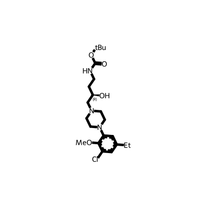 CCc1cc(Cl)c(OC)c(N2CCN(C[C@H](O)CCNC(=O)OC(C)(C)C)CC2)c1